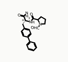 NC(=O)[C@@H](Cc1ccc(-c2ccccc2)cc1)NC(=O)C1CCCN1C=O